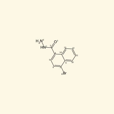 NNC(=O)c1ccc(Br)c2ccccc12